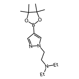 CCN(CC)CCn1cc(B2OC(C)(C)C(C)(C)O2)cn1